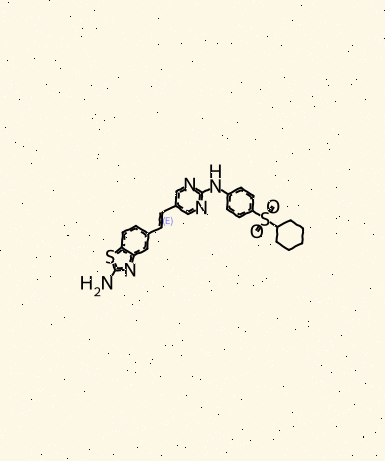 Nc1nc2cc(/C=C/c3cnc(Nc4ccc(S(=O)(=O)C5CCCCC5)cc4)nc3)ccc2s1